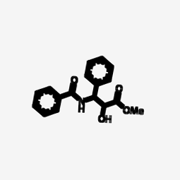 COC(=O)C(O)C(NC(=O)c1ccccc1)c1ccccc1